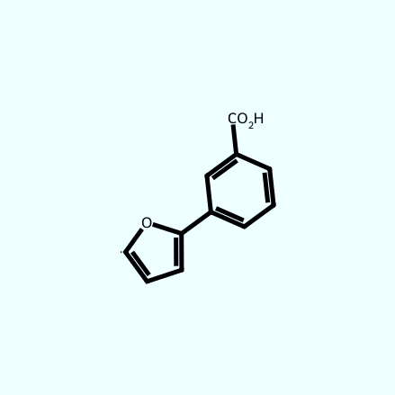 O=C(O)c1cccc(-c2cc[c]o2)c1